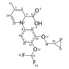 CC1=CC(C(=O)O)N(c2ccc(OC(F)F)c(OCC3CC3)c2)C=C1